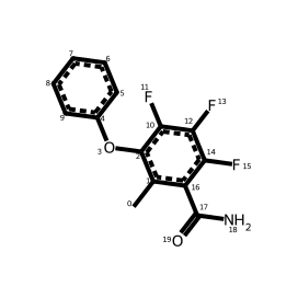 Cc1c(Oc2ccccc2)c(F)c(F)c(F)c1C(N)=O